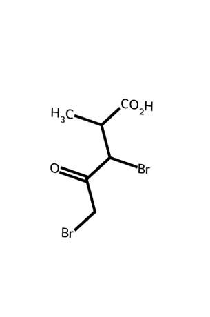 CC(C(=O)O)C(Br)C(=O)CBr